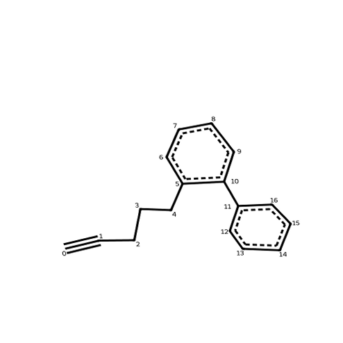 C#CCCCc1ccccc1-c1ccccc1